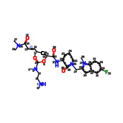 CNCCN(C)C(=O)O[C@@H](CC/C=C/C(=O)N(C)C)C(=O)Nc1cccn(Cc2cc3cc(F)ccc3n2C)c1=O